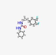 O=C(Nc1ccccc1)N[C@@H]1C[C@H]1c1ccc(F)c(F)c1